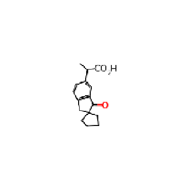 CC(C(=O)O)c1ccc2c(c1)C(=O)C1(CCCC1)C2